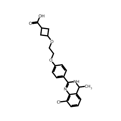 CC1NC(c2ccc(OCCOC3CC(C(=O)O)C3)cc2)=Nc2c(Cl)cccc21